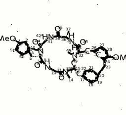 COc1ccc(C[C@H]2C(=O)NCC(=O)N(C)[C@H]3Cc4ccc(cc4)Cc4cc(ccc4OC)C[C@@H](C(=O)N[C@H](C)C(=O)N[C@@H](C)C(=O)N2C)N(C)C3)cc1